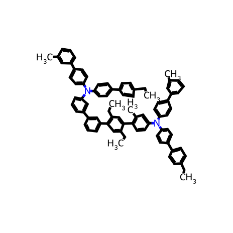 CCc1ccc(-c2ccc(N(c3ccc(-c4cccc(C)c4)cc3)c3cccc(-c4cccc(-c5cc(CC)c(-c6ccc(N(c7ccc(-c8ccc(CC)cc8)cc7)c7ccc(-c8cccc(C)c8)cc7)cc6C)cc5CC)c4)c3)cc2)cc1